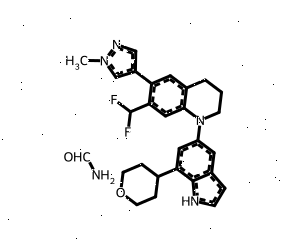 Cn1cc(-c2cc3c(cc2C(F)F)N(c2cc(C4CCOCC4)c4[nH]ccc4c2)CCC3)cn1.NC=O